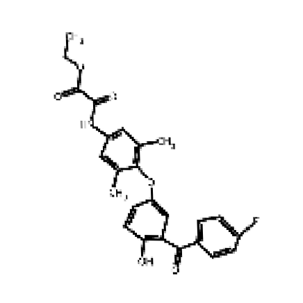 CCOC(=O)C(=O)Nc1cc(C)c(Oc2ccc(O)c(C(=O)c3ccc(F)cc3)c2)c(C)c1